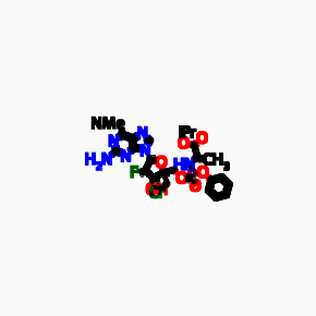 CNc1nc(N)nc2c1ncn2[C@@H]1O[C@](CCl)(CO[P@](=O)(N[C@@H](C)C(=O)OC(C)C)Oc2ccccc2)[C@@H](O)[C@H]1F